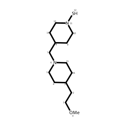 COCCC1CCN(CC2CCN(S)CC2)CC1